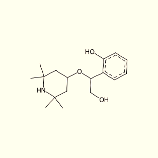 CC1(C)CC(OC(CO)c2ccccc2O)CC(C)(C)N1